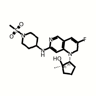 C[C@@]1(O)CCC[C@H]1N1CC(F)=Cc2cnc(NC3CCN(S(C)(=O)=O)CC3)cc21